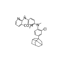 CN(c1ccc(N(C)c2ncccc2C(=O)O)cc1)c1ccc(C23CC4CC(CC(C4)C2)C3)cc1Cl